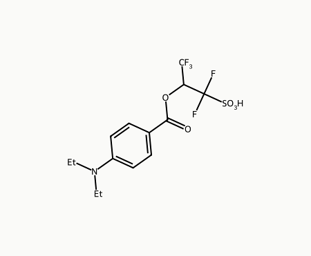 CCN(CC)c1ccc(C(=O)OC(C(F)(F)F)C(F)(F)S(=O)(=O)O)cc1